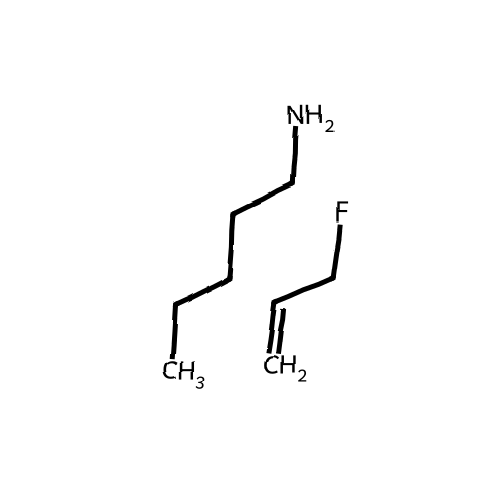 C=CCF.CCCCCN